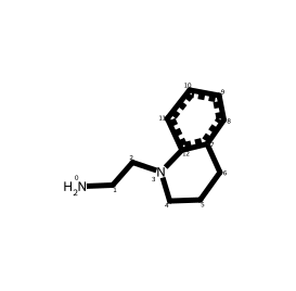 NCCN1CCCc2ccccc21